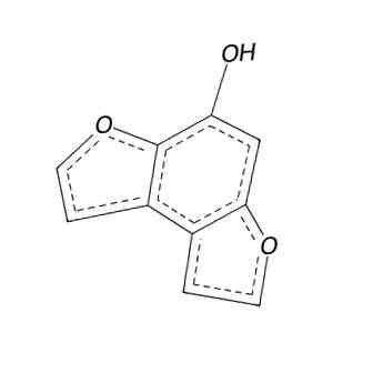 Oc1cc2occc2c2ccoc12